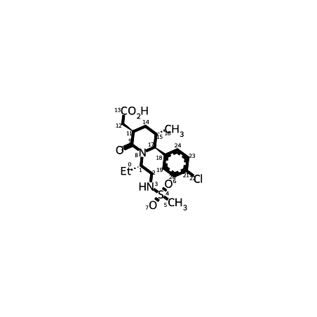 CC[C@@H](CNS(C)(=O)=O)N1C(=O)[C@@H](CC(=O)O)C[C@H](C)[C@H]1c1ccc(Cl)cc1